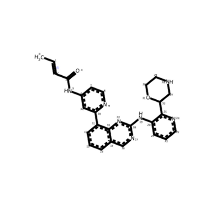 C/C=C/C(=O)Nc1ccnc(-c2cccc3cnc(Nc4cccnc4C4CNCCO4)nc23)c1